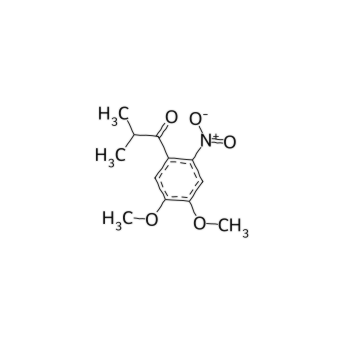 COc1cc(C(=O)C(C)C)c([N+](=O)[O-])cc1OC